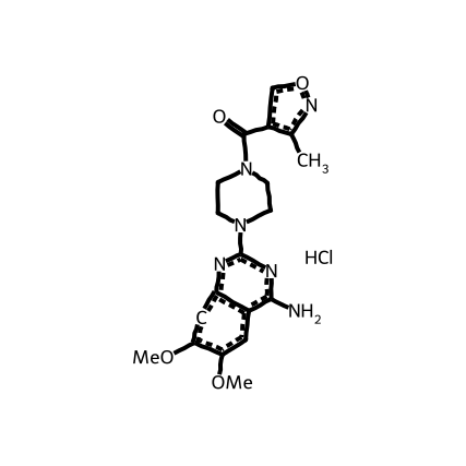 COc1cc2nc(N3CCN(C(=O)c4conc4C)CC3)nc(N)c2cc1OC.Cl